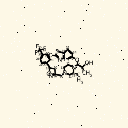 Cc1nc2cc(OC(C(C)O)N3CCN(CC4=NOC(c5ccc(C(F)(F)F)cc5)C4)C[C@@H]3C)ccc2s1